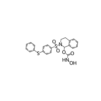 O=C(NO)OC1c2ccccc2CCN1S(=O)(=O)c1ccc(Sc2ccccc2)cc1